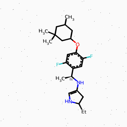 CCC1CC(N[C@@H](C)c2cc(F)c(OC3CC(C)CC(C)(C)C3)cc2F)=CN1